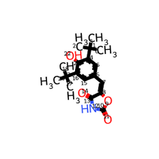 CC(C)(C)c1cc(C=C2OC(=O)NC2=O)cc(C(C)(C)C)c1O